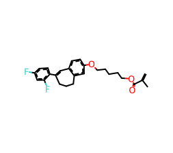 C=C(C)C(=O)OCCCCCOc1ccc2c(c1)CCCC(c1ccc(F)cc1F)=C2